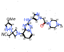 COc1cnn(C2(CC#N)CN(c3cccn4nc(Nc5cnn(CC(=O)N6CCN(C)CC6)c5)nc34)C2)c1